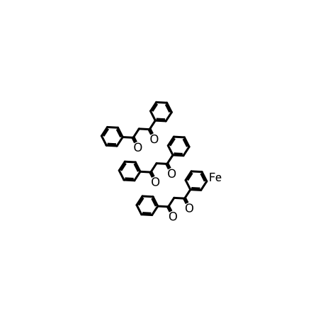 O=C(CC(=O)c1ccccc1)c1ccccc1.O=C(CC(=O)c1ccccc1)c1ccccc1.O=C(CC(=O)c1ccccc1)c1ccccc1.[Fe]